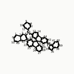 C1=CC2=CC(N(c3ccccc3)c3ccc4c(c3)C3(c5ccccc5-c5ccccc53)c3cc(-n5ccc6ccccc65)ccc3-4)=CCC2C=C1